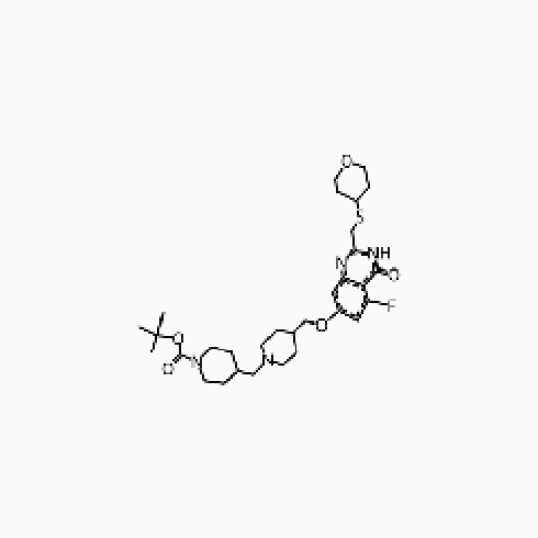 CC(C)(C)OC(=O)N1CCC(CN2CCC(COc3cc(F)c4c(=O)[nH]c(CSC5CCOCC5)nc4c3)CC2)CC1